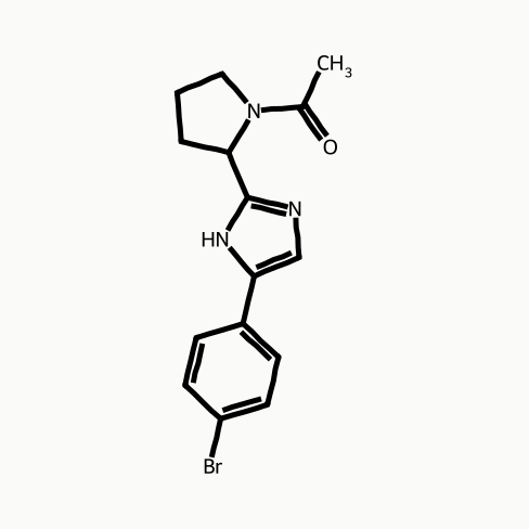 CC(=O)N1CCCC1c1ncc(-c2ccc(Br)cc2)[nH]1